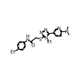 CCc1ccc(NC(=O)CSc2nnc(-c3ccc(N(C)C)nc3)n2CC)cc1